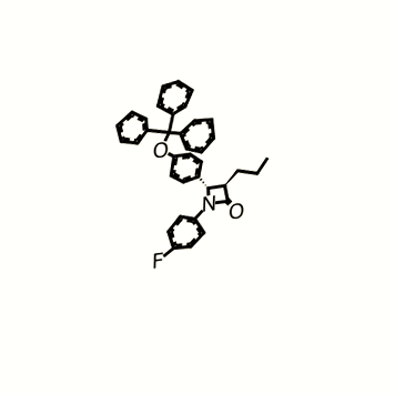 CCC[C@H]1C(=O)N(c2ccc(F)cc2)[C@@H]1c1ccc(OC(c2ccccc2)(c2ccccc2)c2ccccc2)cc1